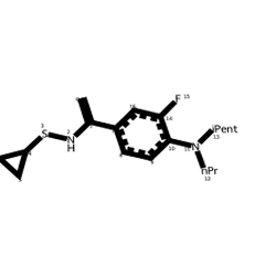 C=C(NSC1CC1)c1ccc(N(CCC)C(C)CCC)c(F)c1